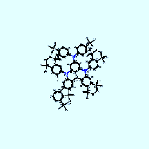 Cc1cc2c(cc1N1c3cc4c(cc3B3c5cc6c(cc5N(c5ccc7c(c5)C(C)(C)CCC7(C)C)c5cc(N(c7ccc(C(C)(C)C)cc7)c7ccc(C(C)(C)C)cc7)cc1c53)C(C)(C)CCC6(C)C)C(C)(C)c1c-4cccc1C(C)(C)C)C(C)(C)CCC2(C)C